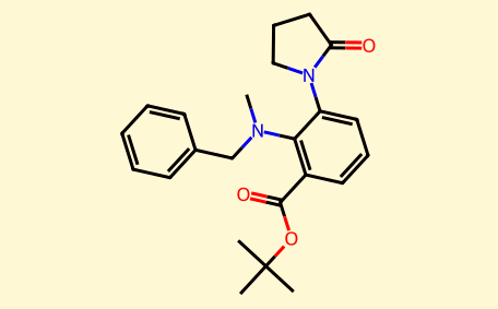 CN(Cc1ccccc1)c1c(C(=O)OC(C)(C)C)cccc1N1CCCC1=O